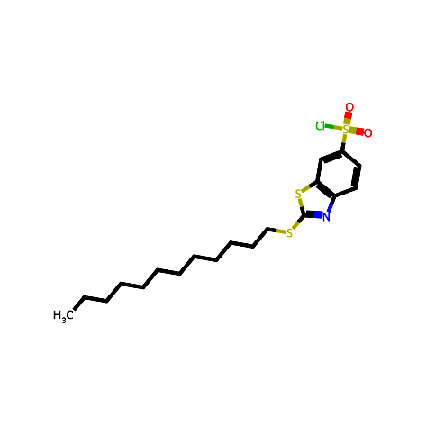 CCCCCCCCCCCCSc1nc2ccc(S(=O)(=O)Cl)cc2s1